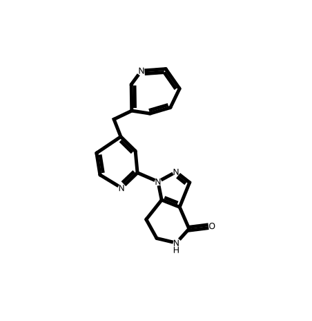 O=C1NCCc2c1cnn2-c1cc(CC2=CN=C=CC=C2)ccn1